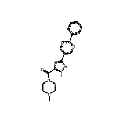 CN1CCN(C(=O)c2cc(-c3cnc(-c4ccccc4)nc3)n[nH]2)CC1